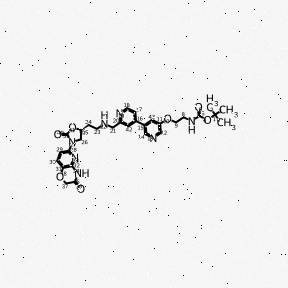 CC(C)(C)OC(=O)NCCOc1cncc(-c2ccnc(CNCC[C@H]3CN(c4ccc5c(n4)NC(=O)CO5)C(=O)O3)c2)c1